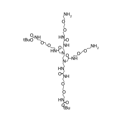 CC(C)(C)OC(=O)NCCOCCOCCNC(=O)CNCCN(CCN(CCNCC(=O)NCCOCCOCCN)CC(=O)NCCOCCOCCNC(=O)OC(C)(C)C)CC(=O)NCCOCCOCCN